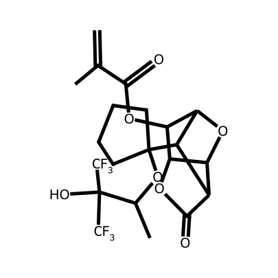 C=C(C)C(=O)OC1C2OC(=O)C3C2OC1C3C1(OC(C)C(O)(C(F)(F)F)C(F)(F)F)CCCC1